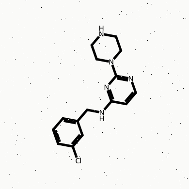 Clc1cccc(CNc2ccnc(N3CCNCC3)n2)c1